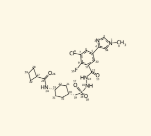 Cn1cnc(-c2cc(Cl)c(F)c(C(=O)NNS(=O)(=O)C[C@H]3CC[C@@H](NC(=O)C4CCC4)CC3)c2)c1